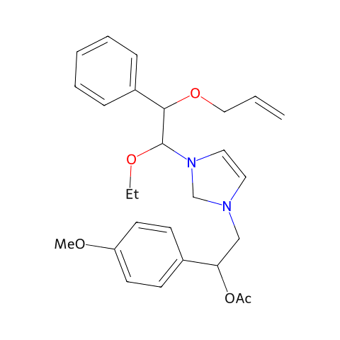 C=CCOC(c1ccccc1)C(OCC)N1C=CN(CC(OC(C)=O)c2ccc(OC)cc2)C1